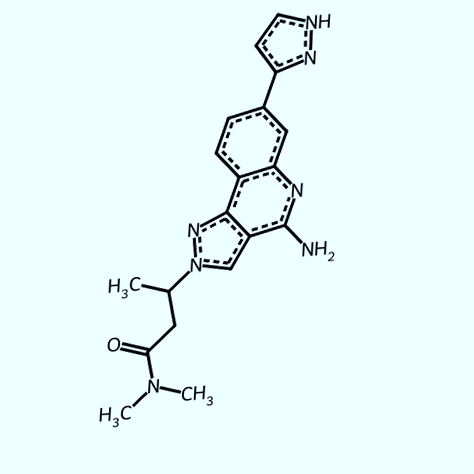 CC(CC(=O)N(C)C)n1cc2c(N)nc3cc(-c4cc[nH]n4)ccc3c2n1